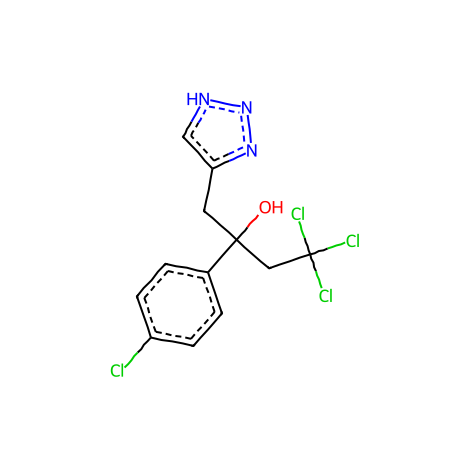 OC(Cc1c[nH]nn1)(CC(Cl)(Cl)Cl)c1ccc(Cl)cc1